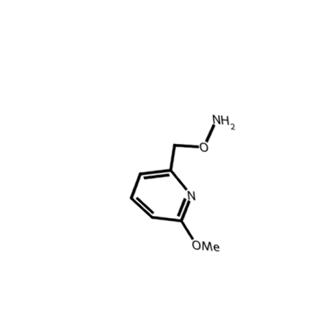 COc1cccc(CON)n1